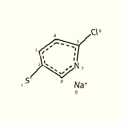 [Na+].[S-]c1ccc(Cl)nc1